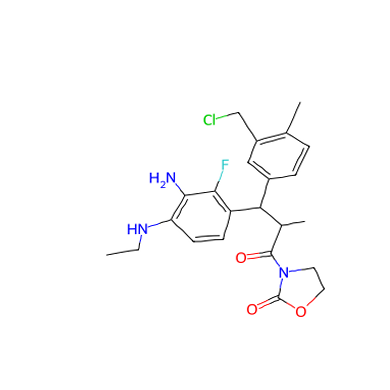 CCNc1ccc(C(c2ccc(C)c(CCl)c2)C(C)C(=O)N2CCOC2=O)c(F)c1N